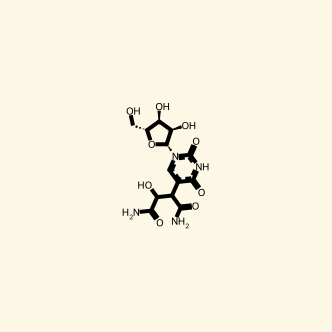 NC(=O)C(O)C(C(N)=O)c1cn([C@@H]2O[C@H](CO)[C@@H](O)[C@H]2O)c(=O)[nH]c1=O